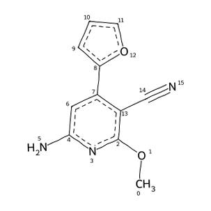 COc1nc(N)cc(-c2ccco2)c1C#N